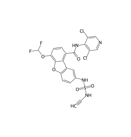 C#CNS(=O)(=O)Nc1ccc2oc3c(OC(F)F)ccc(C(=O)Nc4c(Cl)cncc4Cl)c3c2c1